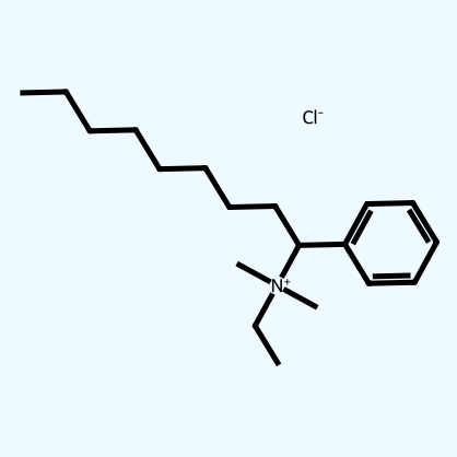 CCCCCCCCC(c1ccccc1)[N+](C)(C)CC.[Cl-]